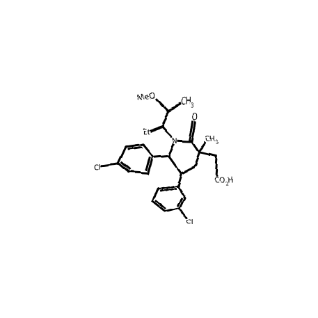 CCC(C(C)OC)N1C(=O)C(C)(CC(=O)O)CC(c2cccc(Cl)c2)C1c1ccc(Cl)cc1